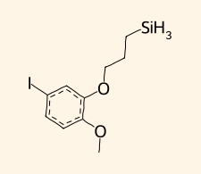 COc1ccc(I)cc1OCCC[SiH3]